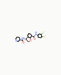 O=C(N[C@H]1CCOc2c(C(=O)Nc3ccc(F)c(F)c3)cccc21)c1cccnc1